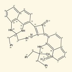 C=c1cccc2cc/c(=C3\C(=O)C(c4ccc5cccc6c5c4NC(CC(C)C)(CC(C)C)N6)=C3O)c(NC(C)(CC(C)C)CC(C)C)c12